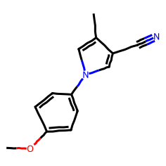 COc1ccc(-n2cc(C)c(C#N)c2)cc1